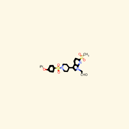 CC(C)Oc1ccc(S(=O)(=O)N2CCC(c3cn(CC=O)c4nc(S(C)(=O)=O)ccc34)CC2)cc1